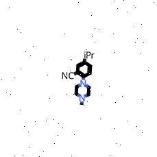 CC(C)c1ccc(N2CCN(C)CC2)c(C#N)c1